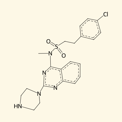 CN(c1nc(N2CCNCC2)nc2ccccc12)S(=O)(=O)CCc1ccc(Cl)cc1